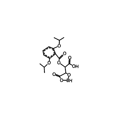 CC(C)Oc1cccc(OC(C)C)c1C(=O)OC(C(=O)O)C1OBOC1=O